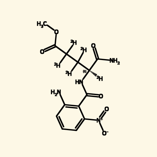 [2H]C([2H])(C(=O)OC)C([2H])([2H])[C@]([2H])(NC(=O)c1c(N)cccc1[N+](=O)[O-])C(N)=O